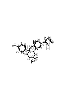 Fc1ccc(C2(Nc3ncc(-c4nnn[nH]4)cn3)CCC(F)(F)CC2)cc1